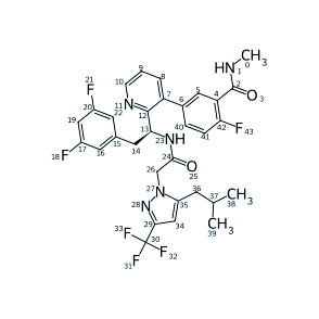 CNC(=O)c1cc(-c2cccnc2[C@H](Cc2cc(F)cc(F)c2)NC(=O)Cn2nc(C(F)(F)F)cc2CC(C)C)ccc1F